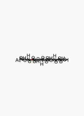 CC(=O)N(O)CCOCCNC(=O)CCC(=O)N(O)CCOCCNC(=O)CCC(=O)N(O)CCOCCNC(=O)CCN(O)C(=O)CCOCCI